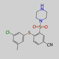 Cc1cc(Cl)cc(Sc2ccc(C#N)cc2S(=O)(=O)N2CCNCC2)c1